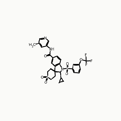 Cc1cncc(NC(=O)c2ccc3c(c2)C2(CCS(=O)(=O)CC2)C(C2CC2)N3S(=O)(=O)c2cccc(OC(F)(F)F)c2)c1